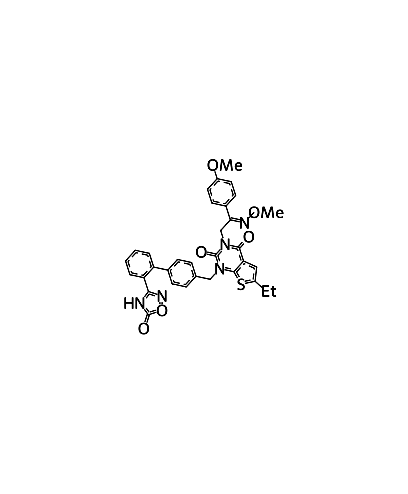 CCc1cc2c(=O)n(CC(=NOC)c3ccc(OC)cc3)c(=O)n(Cc3ccc(-c4ccccc4-c4noc(=O)[nH]4)cc3)c2s1